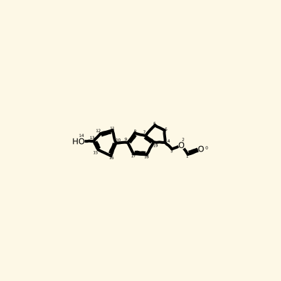 O=COCC1CCc2cc(-c3ccc(O)cc3)ccc21